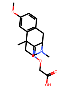 COc1ccc2c(c1)C1(C)CCN(C)C(C2)/C1=N\OCC(=O)O